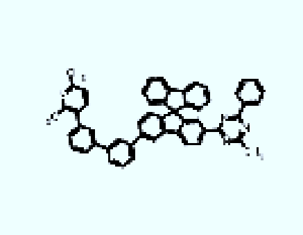 Cc1ccc(-c2cccc(-c3cccc(-c4ccc5c(c4)-c4ccc(-c6nc(C)nc(-c7ccccc7)n6)cc4C54c5ccccc5-c5ccccc54)c3)c2)c(C)n1